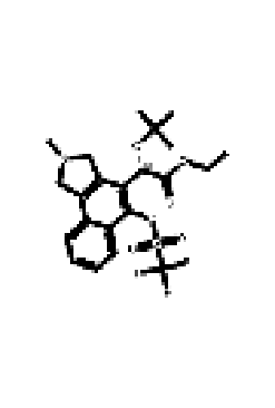 CCOC(=O)[C@@H](OC(C)(C)C)c1c2c(c3ccccc3c1OS(=O)(=O)C(F)(F)F)CN(C)C2